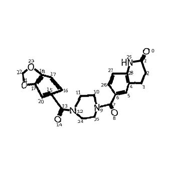 O=C1CCc2cc(C(=O)N3CCN(C(=O)c4ccc5c(c4)OCO5)CC3)ccc2N1